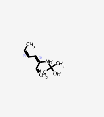 C=C/C(=C\C=C/C)NC(C)(C)O